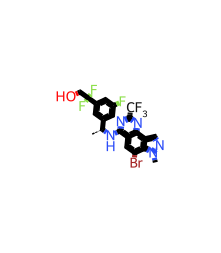 C[C@@H](Nc1nc(C(F)(F)F)nc2c1cc(Br)c1c2cnn1C)c1cc(F)cc(C(F)(F)CO)c1